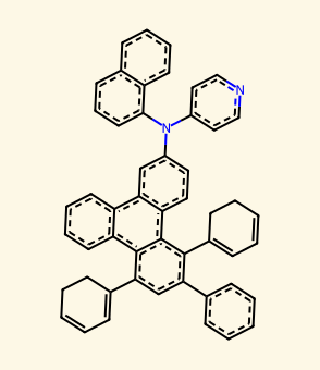 C1=CCCC(c2cc(-c3ccccc3)c(C3=CC=CCC3)c3c4ccc(N(c5ccncc5)c5cccc6ccccc56)cc4c4ccccc4c23)=C1